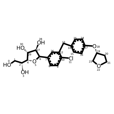 OC[C@@H](O)[C@H]1OC(c2ccc(Cl)c(Cc3ccc(O[C@@H]4CCOC4)cc3)c2)[C@H](O)[C@H]1O